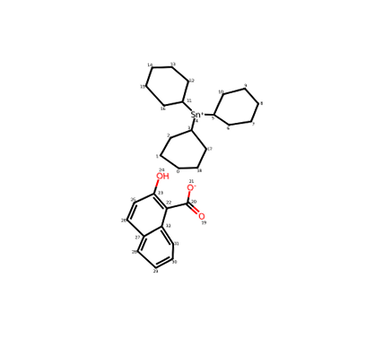 C1CC[CH]([Sn+]([CH]2CCCCC2)[CH]2CCCCC2)CC1.O=C([O-])c1c(O)ccc2ccccc12